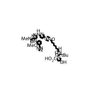 CNC(=O)c1nnc(Nc2ccc(N3CCN(C(=O)CCCCCCC(=O)N[C@H](C(=O)N4C[C@H](O)C[C@H]4C(=O)O)C(C)(C)C)CC3)cn2)cc1Nc1cccc(-c2ncn(C)n2)c1OC